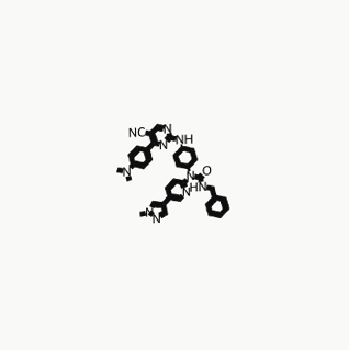 CN(C)c1ccc(-c2nc(N[C@H]3CC[C@H](N(C(=O)NCc4ccccc4)c4ccc(-c5cnn(C)c5)cn4)CC3)ncc2C#N)cc1